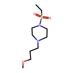 CCS(=O)(=O)N1CCN(CCCOC)CC1